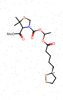 COC(=O)C1N(C(=O)OC(C)OC(=O)CCCC[C@H]2CCSS2)CSC1(C)C